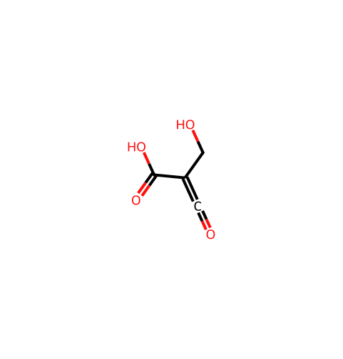 O=C=C(CO)C(=O)O